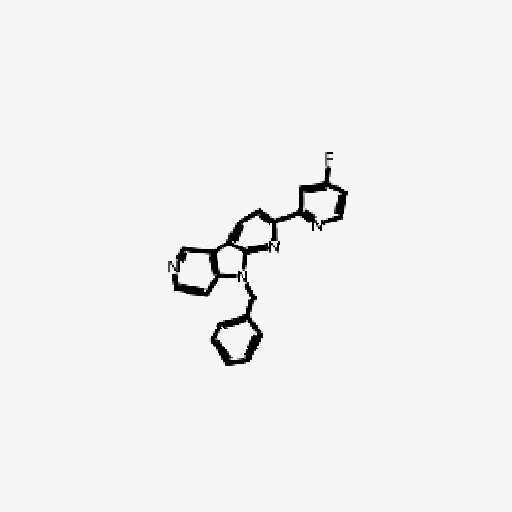 Fc1ccnc(-c2ccc3c4cnccc4n(Cc4ccccc4)c3n2)c1